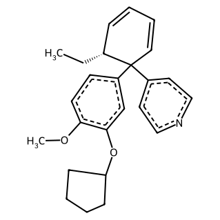 CC[C@@H]1C=CC=CC1(c1ccncc1)c1ccc(OC)c(OC2CCCC2)c1